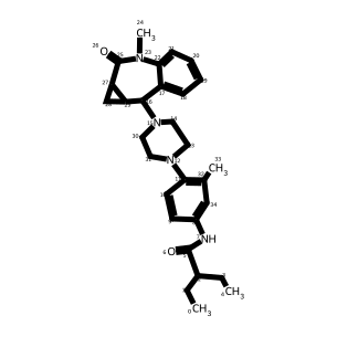 CCC(CC)C(=O)Nc1ccc(N2CCN(C3c4ccccc4N(C)C(=O)C4CC43)CC2)c(C)c1